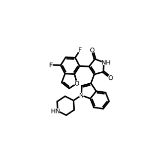 O=C1NC(=O)C(c2c(F)cc(F)c3ccoc23)=C1c1cn(C2CCNCC2)c2ccccc12